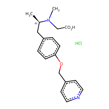 C[C@H](Cc1ccc(OCc2ccncc2)cc1)N(C)CC(=O)O.Cl